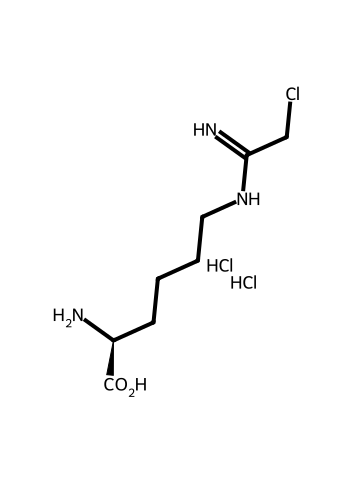 Cl.Cl.N=C(CCl)NCCCC[C@H](N)C(=O)O